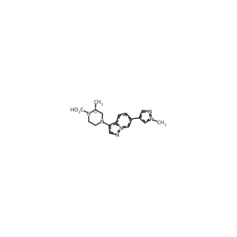 C[C@H]1CN(c2cnn3cc(-c4cnn(C)c4)ccc23)CCN1C(=O)O